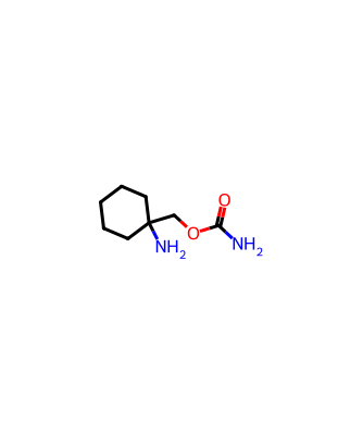 NC(=O)OCC1(N)CCCCC1